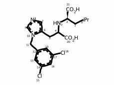 CC(C)C[C@@H](NC(Cc1cncn1Cc1cc(Cl)cc(Cl)c1)C(=O)O)C(=O)O